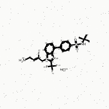 CC(C)(C)NS(=O)(=O)c1ccc(-c2cccc3c2nc(C(F)(F)F)n3CC(F)=CCN)cc1.Cl